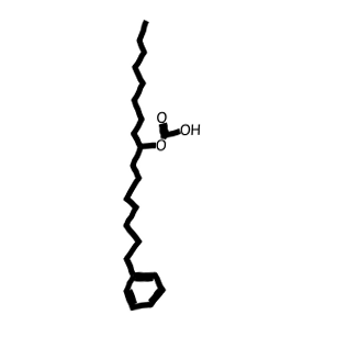 CCCCCCCCC(CCCCCCCc1ccccc1)OC(=O)O